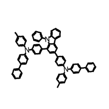 Cc1ccc(N(c2ccc(-c3ccccc3)cc2)c2ccc(-c3cc(-c4ccc(N(c5ccc(C)cc5)c5ccc(-c6ccccc6)cc5)cc4)c4c(c3)c3ccccc3n4-c3ccccc3)cc2)cc1